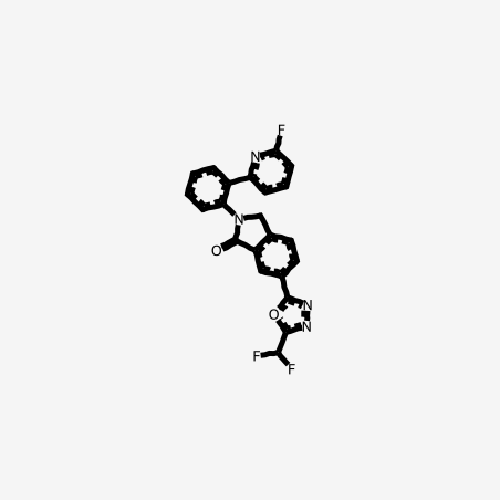 O=C1c2cc(-c3nnc(C(F)F)o3)ccc2CN1c1ccccc1-c1cccc(F)n1